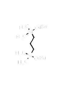 CC(C)CO[Si](C)(C)CCC[Si](C)(C)OCC(C)C